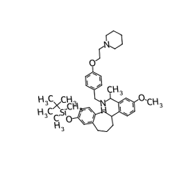 COc1ccc(C2CCCc3cc(O[Si](C)(C)C(C)(C)C)ccc3C2)c(C(C)NCc2ccc(OCCN3CCCCC3)cc2)c1